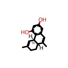 CC1=C[C@H]2c3c(O)cc(O)cc3C=C(C)[C@@H]2CC1